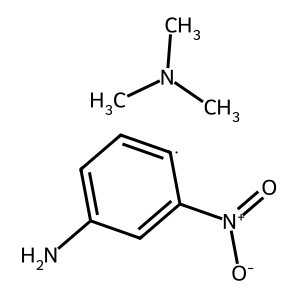 CN(C)C.Nc1cc[c]c([N+](=O)[O-])c1